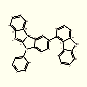 c1ccc(-n2c3ccc(-c4cccc5[nH]c6ccccc6c45)cc3n3c4ccccc4nc23)cc1